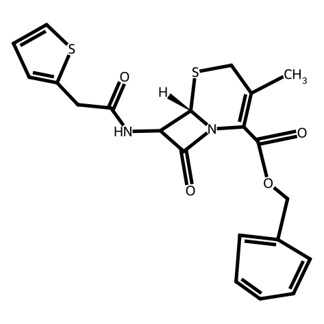 CC1=C(C(=O)OCc2ccccc2)N2C(=O)C(NC(=O)Cc3cccs3)[C@@H]2SC1